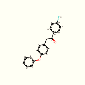 O=C(Cc1ccc(Oc2ccccc2)cc1)c1ccc(F)cc1